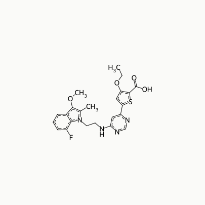 CCOc1cc(-c2cc(NCCn3c(C)c(OC)c4cccc(F)c43)ncn2)sc1C(=O)O